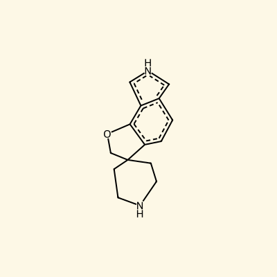 c1cc2c[nH]cc2c2c1C1(CCNCC1)CO2